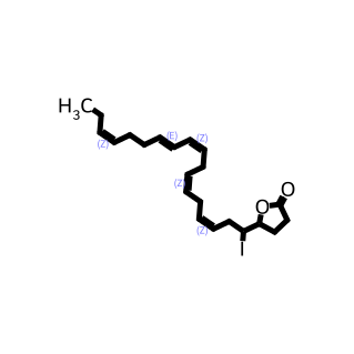 CC/C=C\CC/C=C/C=C\C/C=C\C/C=C\CC(I)C1CCC(=O)O1